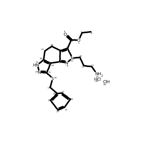 CCOC(=O)c1c2c(nn1CCCN)-c1c(SCc3ccccc3)n[nH]c1CC2.Cl.Cl